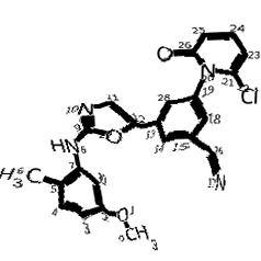 COc1ccc(C)c(Nc2ncc(-c3cc(C#N)cc(-n4c(Cl)cccc4=O)c3)o2)c1